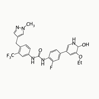 CCOC1=CC(c2ccc(NC(=O)Nc3ccc(Cc4cnn(C)c4)c(C(F)(F)F)c3)c(F)c2)=CNC1O